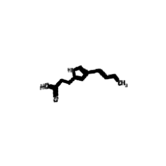 CCCCc1c[nH]c(CCC(=O)O)c1